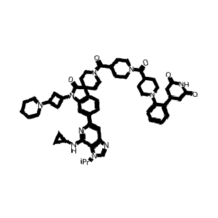 CC(C)n1cnc2cc(-c3ccc4c(c3)N(C3CC(N5CCCCC5)C3)C(=O)C43CCN(C(=O)C4CCN(C(=O)C5CCN(c6ccccc6C6CC(=O)NC(=O)C6)CC5)CC4)CC3)nc(NC3CC3)c21